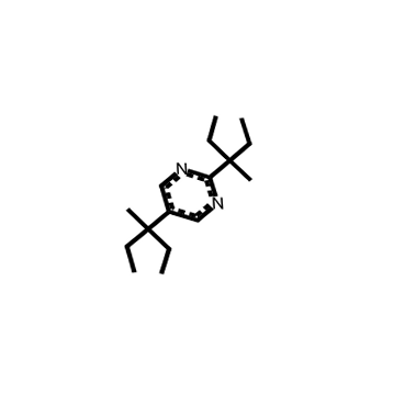 CCC(C)(CC)c1cnc(C(C)(CC)CC)nc1